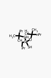 CCCC(C)(C)O[Si](S)(CC(C)C)[SiH2]C(C)(C)C(C)C